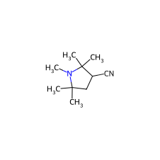 CN1C(C)(C)CC(C#N)C1(C)C